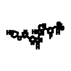 CS(=O)(=O)NCc1cc(F)cc(-c2nccc3[nH]c(-c4n[nH]c5ncc(-c6cncc(OC7CCNCC7)c6)cc45)nc23)c1